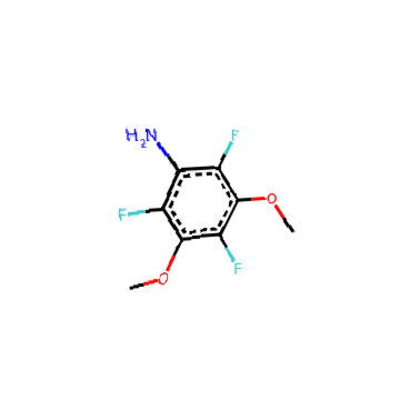 COc1c(F)c(N)c(F)c(OC)c1F